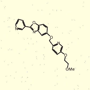 COCCOc1ccc(COc2ccc3oc(-c4cccnc4)nc3c2)nc1